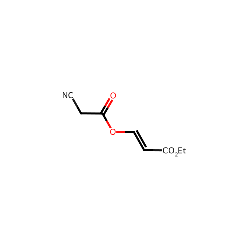 CCOC(=O)C=COC(=O)CC#N